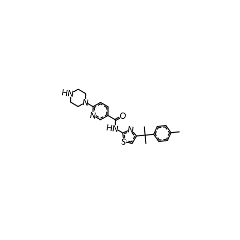 Cc1ccc(C(C)(C)c2csc(NC(=O)c3ccc(N4CCNCC4)nc3)n2)cc1